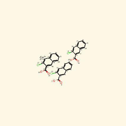 O=C([O-])c1cc2ccccc2cc1Cl.O=C([O-])c1cc2ccccc2cc1Cl.O=C([O-])c1cc2ccccc2cc1Cl.[Ga+3]